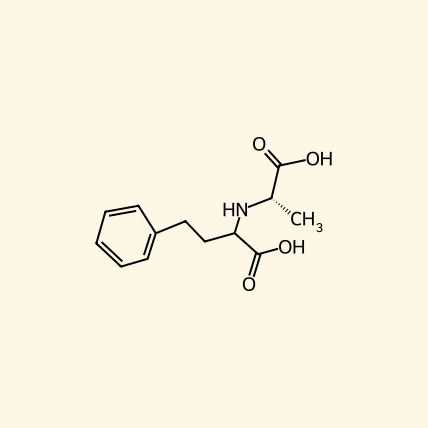 C[C@H](NC(CCc1ccccc1)C(=O)O)C(=O)O